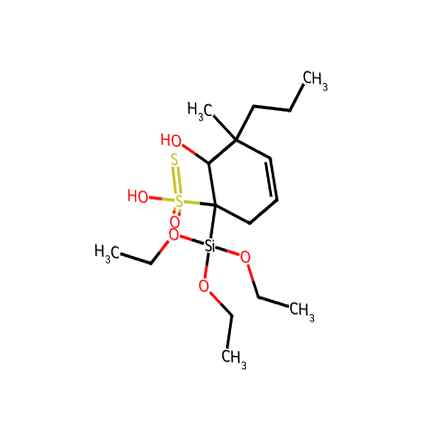 CCCC1(C)C=CCC([Si](OCC)(OCC)OCC)(S(=O)(O)=S)C1O